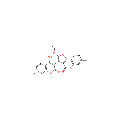 CCOC1Oc2c(c(=O)oc3cc(C)ccc23)C1c1c(O)c2ccc(C)cc2oc1=O